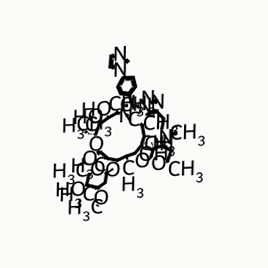 CC[C@H]1OC(=O)[C@H](C)[C@@H](O[C@H]2C[C@@](C)(OC)[C@@H](O)[C@H](C)O2)[C@H](C)[C@@H](O[C@@H]2O[C@H](C)C[C@H](N(C)CCc3cn(Cc4ccc(-n5ccnc5)cc4)nn3)[C@H]2O)[C@](C)(O)C[C@@H](C)CN(C)[C@H](C)[C@@H](O)[C@]1(C)O